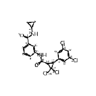 O=C(NC1CC1)c1cccc(NC(=O)C2C(c3cc(Cl)cc(Cl)c3)C2(Cl)Cl)c1